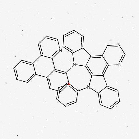 c1ccc(-n2c3ccccc3c3c4ncncc4c4c5ccccc5n(-c5cccc6c7ccccc7c7cccnc7c56)c4c32)cc1